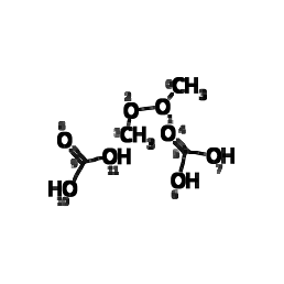 COOC.O=C(O)O.O=C(O)O